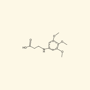 COc1cc(NCCC(=O)O)cc(OC)c1OC